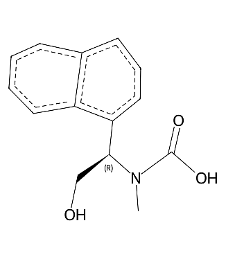 CN(C(=O)O)[C@@H](CO)c1cccc2ccccc12